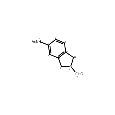 CC(=O)Nc1ccc2c(c1)CN(C=O)C2